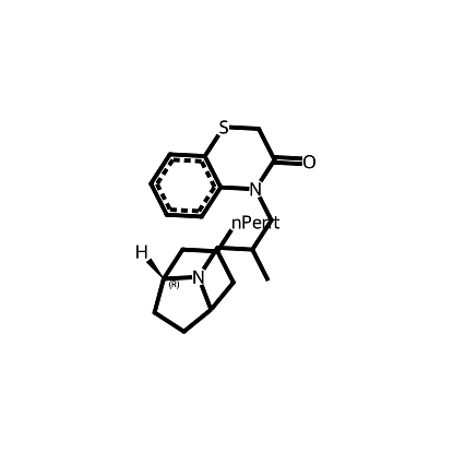 CCCCCC1CC2CC[C@H](C1)N2CC(C)CN1C(=O)CSc2ccccc21